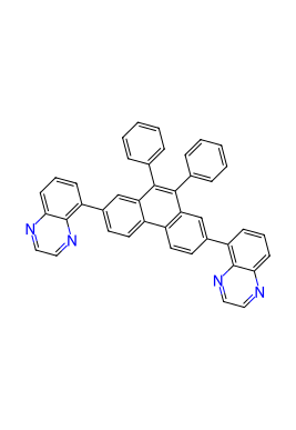 c1ccc(-c2c(-c3ccccc3)c3cc(-c4cccc5nccnc45)ccc3c3ccc(-c4cccc5nccnc45)cc23)cc1